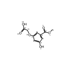 COC(=O)c1cc(O)cc(OCC(=O)O)c1